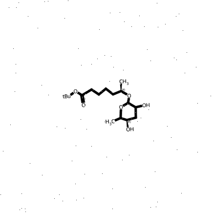 CC1OC(O[C@H](C)CCCCC(=O)OC(C)(C)C)C(O)C[C@H]1O